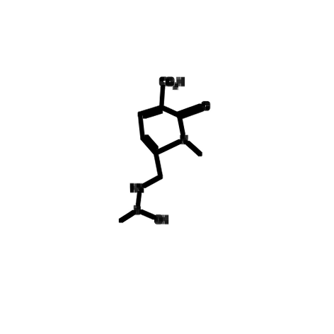 CB(O)NCc1ccc(C(=O)O)c(=O)n1C